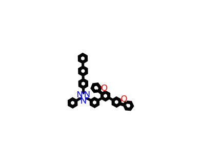 c1ccc(-c2ccc(-c3ccc(-c4nc(-c5ccccc5)nc(-c5cccc(-c6cc(-c7ccc8c(c7)oc7ccccc78)cc7oc8ccccc8c67)c5)n4)cc3)cc2)cc1